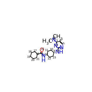 CN(C)c1ccnc(N[C@H]2CC[C@@H](NC(=O)C3CCCCC3)CC2)n1